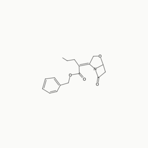 CCCC(C(=O)OCc1ccccc1)=C1COC2CC(=O)N12